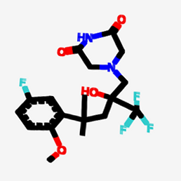 COc1ccc(F)cc1C(C)(C)CC(O)(CN1CC(=O)NC(=O)C1)C(F)(F)F